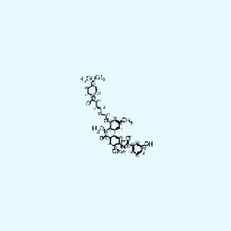 COc1cc(C(=O)N(C)c2ccc(C)cc2OCCCCCC(=O)N2CCC(N(C)C)CC2)ccc1NC(=O)c1cccc(O)c1